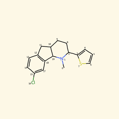 CN1C(c2cccs2)CCC2Cc3ccc(Cl)cc3C21